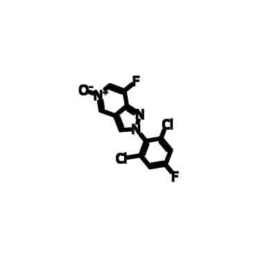 [O-][n+]1cc(F)c2nn(-c3c(Cl)cc(F)cc3Cl)cc2c1